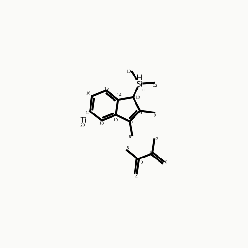 C=C(C)C(=C)C.CC1=C(C)C([SiH](C)C)c2ccccc21.[Ti]